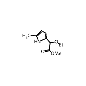 CCOC(C(=O)OC)c1ccc(C)[nH]1